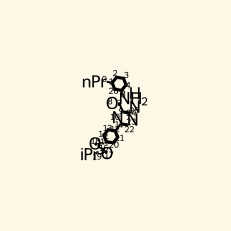 CCCc1cccc(NC(=O)c2nc(-c3ccc(S(=O)(=O)C(C)C)cc3)cnc2N)c1